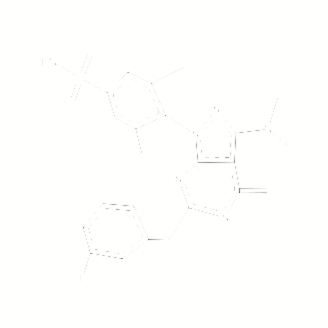 CN(C)c1nn(-c2c(Cl)cc(S(N)(=O)=O)cc2Cl)c2nc(Cc3cccc(F)c3)[nH]c(=O)c12